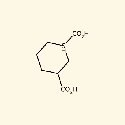 O=C(O)C1CCC[SH](C(=O)O)C1